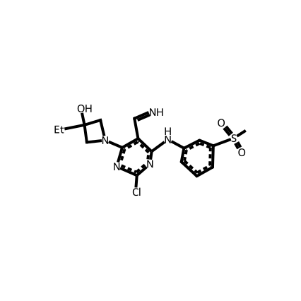 CCC1(O)CN(c2nc(Cl)nc(Nc3cccc(S(C)(=O)=O)c3)c2C=N)C1